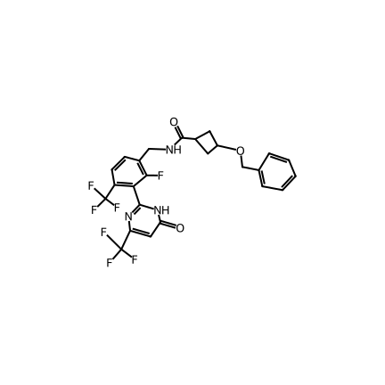 O=C(NCc1ccc(C(F)(F)F)c(-c2nc(C(F)(F)F)cc(=O)[nH]2)c1F)C1CC(OCc2ccccc2)C1